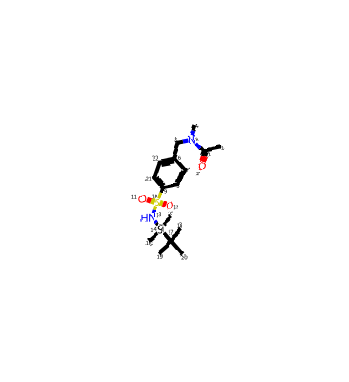 CC(=O)N(C)Cc1ccc(S(=O)(=O)N[Si](C)(C)C(C)(C)C)cc1